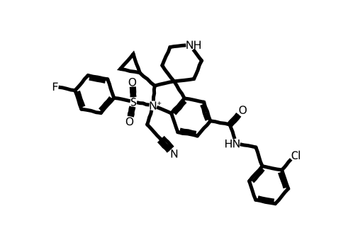 N#CC[N+]1(S(=O)(=O)c2ccc(F)cc2)c2ccc(C(=O)NCc3ccccc3Cl)cc2C2(CCNCC2)C1C1CC1